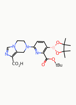 CC(C)(C)OC(=O)c1nc(N2CCn3cnc(C(=O)O)c3C2)ccc1B1OC(C)(C)C(C)(C)O1